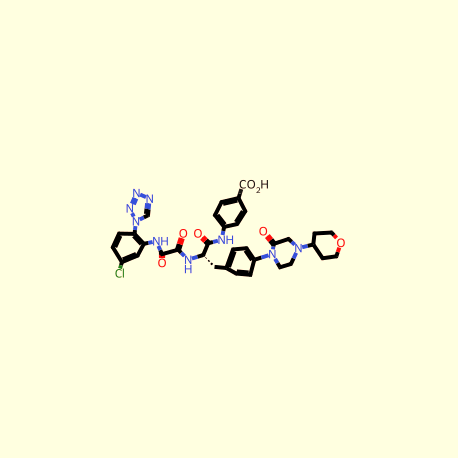 O=C(Nc1cc(Cl)ccc1-n1cnnn1)C(=O)N[C@@H](Cc1ccc(N2CCN(C3CCOCC3)CC2=O)cc1)C(=O)Nc1ccc(C(=O)O)cc1